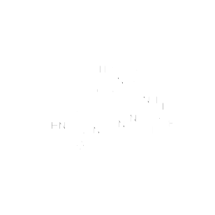 CN(C(=O)c1cnn2c1CN(C(=O)c1cc3ccccc3[nH]1)CC2)C1(CNCC(F)(F)F)CC1